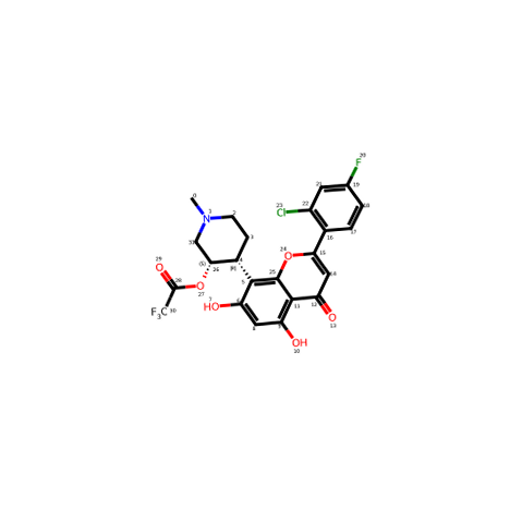 CN1CC[C@H](c2c(O)cc(O)c3c(=O)cc(-c4ccc(F)cc4Cl)oc23)[C@H](OC(=O)C(F)(F)F)C1